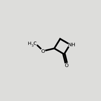 COC1CNC1=O